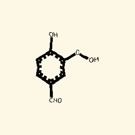 O=Cc1ccc(O)c(OO)c1